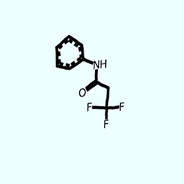 O=C(CC(F)(F)F)Nc1ccccc1